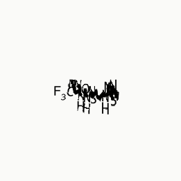 CN(C)c1ncc(NC(=O)Nc2ncc(CCNc3ncnc4ccsc34)s2)cc1C(F)(F)F